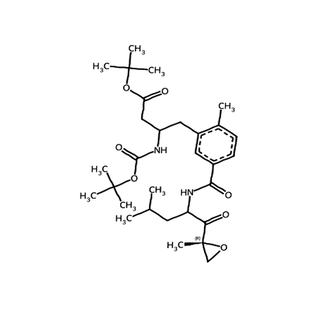 Cc1ccc(C(=O)NC(CC(C)C)C(=O)[C@@]2(C)CO2)cc1CC(CC(=O)OC(C)(C)C)NC(=O)OC(C)(C)C